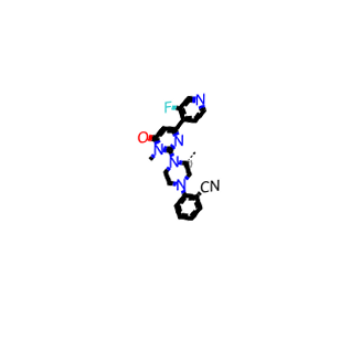 C[C@@H]1CN(c2ccccc2C#N)CCN1c1nc(-c2ccncc2F)cc(=O)n1C